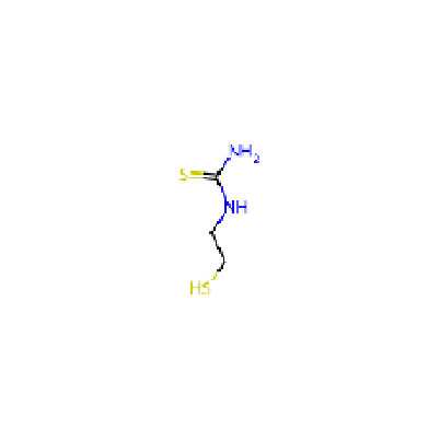 NC(=S)NCCS